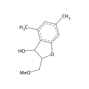 COCC1Oc2cc(C)cc(C)c2C1O